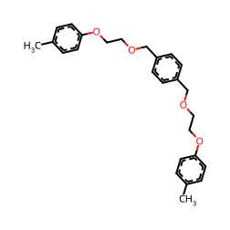 Cc1ccc(OCCOCc2ccc(COCCOc3ccc(C)cc3)cc2)cc1